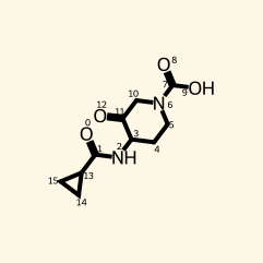 O=C(NC1CCN(C(=O)O)CC1=O)C1CC1